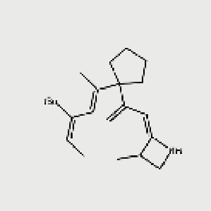 C=C(/C=C1/NCC1C)C1(/C(C)=C/C(=C\C)C(C)(C)C)CCCC1